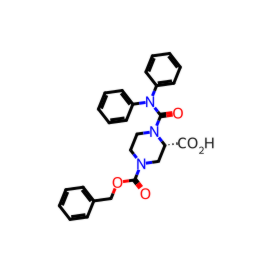 O=C(O)[C@@H]1CN(C(=O)OCc2ccccc2)CCN1C(=O)N(c1ccccc1)c1ccccc1